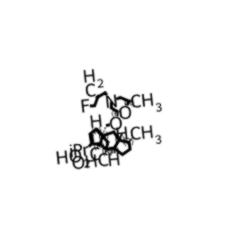 C=C(CF)CN1C[C@H](OC[C@@]23C[C@@H]4[C@H](C)CC[C@H]4[C@]4(C=O)C[C@@H]2C=C(C(C)C)[C@@]34C(=O)O)O[C@H](C)C1